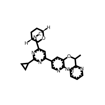 CC(Oc1cc(-c2cc(N3C[C@@H]4CC[C@H]3CO4)nc(C3CC3)n2)cnc1N)c1ccccn1